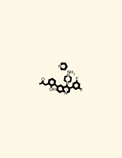 CC(=O)Cc1cccc(-c2ccc3ncc(-c4cc(F)cc(F)c4)c(N4CCN(N)CC4)c3c2)c1O.c1ccncc1